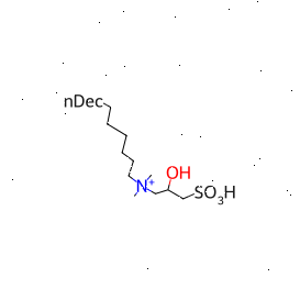 CCCCCCCCCCCCCCCC[N+](C)(C)CC(O)CS(=O)(=O)O